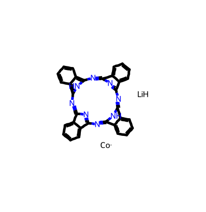 [Co].[LiH].c1ccc2c(c1)-c1nc-2nc2[nH]c(nc3nc(nc4[nH]c(n1)c1ccccc41)-c1ccccc1-3)c1ccccc21